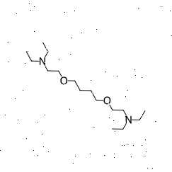 CCN(CC)CCOCCCCOCCN(CC)CC